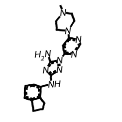 CN1CCN(c2cc(-n3nc(Nc4cccc5c4CCC5)nc3N)ncn2)CC1